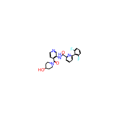 O=C(Nc1cnccc1C(=O)N1CCC(O)CC1)c1cccc(-c2c(F)cccc2F)n1